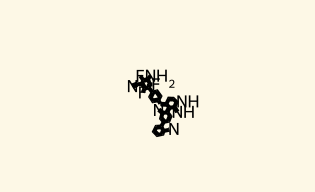 N#Cc1ccccc1-c1ccc2c3c(c(-c4ccc(-c5c(F)c(N)c(F)c(C#N)c5F)cc4)nc2c1)C=CC(=N)C3=N